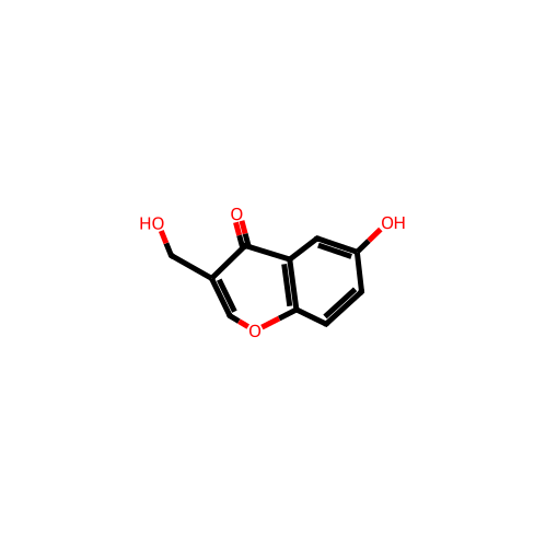 O=c1c(CO)coc2ccc(O)cc12